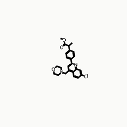 COC(=O)C(C)c1ccc(-c2cc(CN3CCOCC3)c3ccc(Cl)cc3n2)cc1